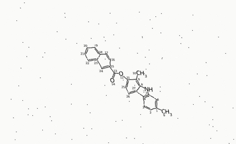 Cc1ccc2c(c1)[nH]c1c(C)c(OC(=O)c3ccc4ccccc4c3)ccc12